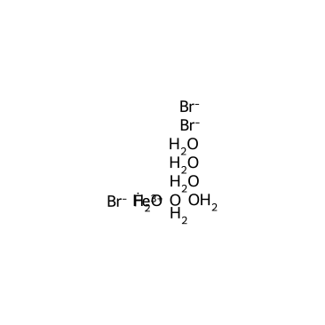 O.O.O.O.O.O.[Br-].[Br-].[Br-].[Fe+3]